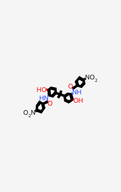 CC(C)(c1ccc(O)c(NC(=O)c2ccc([N+](=O)[O-])cc2)c1)c1ccc(O)c(NC(=O)c2ccc([N+](=O)[O-])cc2)c1